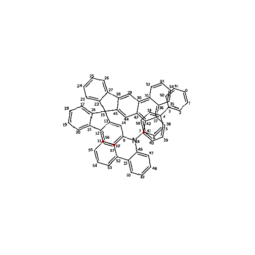 c1ccc(-c2ccc(N(c3ccc4c(c3)C3(c5ccccc5-4)c4ccccc4-c4cc5c6ccccc6c6ccccc6c5cc43)c3ccccc3-c3ccccc3)cc2)cc1